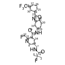 CC(C)(F)C(=O)NCc1cnc(CF)c(C(=O)Nc2ccc3oc(-c4cccc(C(F)(F)F)c4)nc3c2)c1